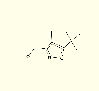 COCc1noc(C(C)(C)C)c1C